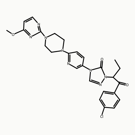 CCC(C(=O)c1ccc(Cl)cc1)n1ncn(-c2ccc(N3CCN(c4nccc(OC)n4)CC3)nc2)c1=O